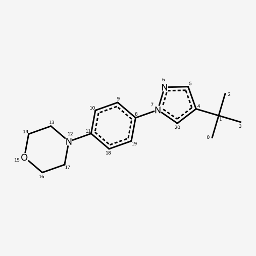 CC(C)(C)c1cnn(-c2ccc(N3CCOCC3)cc2)c1